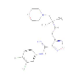 CC(C)(CN1CCOCC1)NCc1nonc1C(=N)Nc1ccc(F)c(Cl)c1